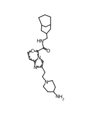 NC1CCN(CCc2cn3c(C(=O)NCC4CC5CCCC(C5)C4)cccc3n2)CC1